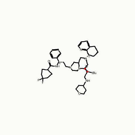 CC(C)(C)OC(=O)N1CCN(CC[C@@H](NC(=O)C2CCC(F)(F)CC2)c2ccccc2)CC1CN(CCCCNC1CCOCC1)[C@H]1CCCc2cccnc21